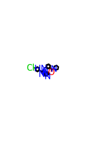 O=C(c1cccc(Nc2c(-c3ccc(Cl)cc3)nc3cnccn23)c1)N1CCCCC1